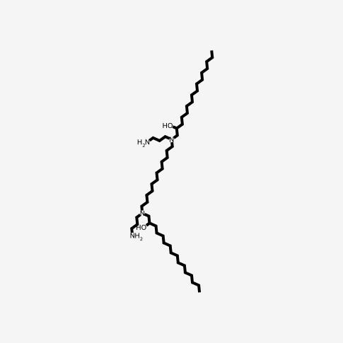 CCCCCCCCCCCCCCC(O)CN(CCCN)CCCCCCCCCCCCN(CCCN)CC(O)CCCCCCCCCCCCCC